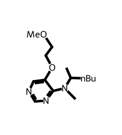 CCCCC(C)N(C)c1ncncc1OCCOC